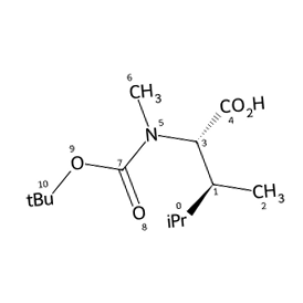 CC(C)[C@H](C)[C@@H](C(=O)O)N(C)C(=O)OC(C)(C)C